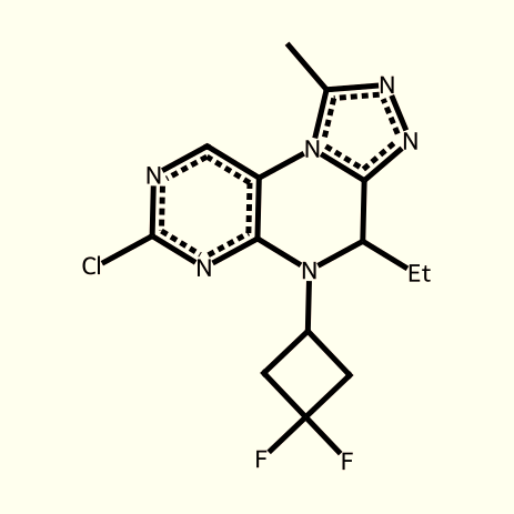 CCC1c2nnc(C)n2-c2cnc(Cl)nc2N1C1CC(F)(F)C1